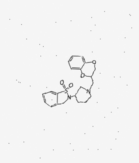 O=S1(=O)c2ccccc2CN1C1CCCN(CC2COc3ccccc3O2)C1